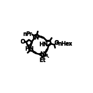 CCCCCCOC(C)c1c(C)c2cc3nc(c4c5[nH]c(cc6nc(cc1[nH]2)[C@H](C)[C@H]6CC)c(C)c5C(=O)C4)C(CCC)=C3C